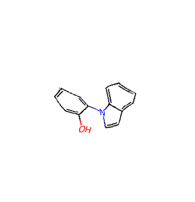 Oc1cc[c]cc1-n1ccc2ccccc21